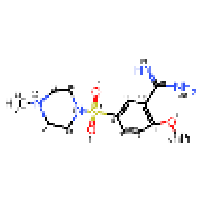 CCCOc1ccc(S(=O)(=O)N2CCN(C)CC2)cc1C(=N)N